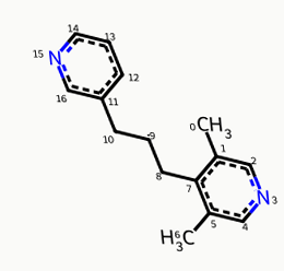 Cc1cncc(C)c1C[CH]Cc1cccnc1